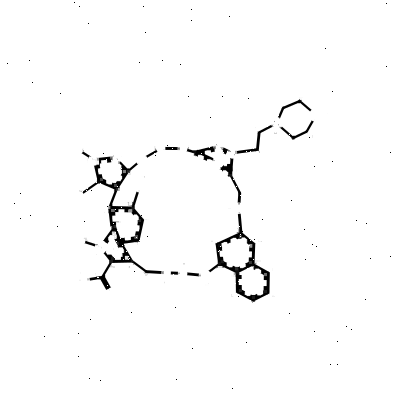 Cc1c2c(nn1C)CSCc1cc(n(CCN3CCOCC3)n1)CSc1cc(c3ccccc3c1)OCCCc1c(C(=O)O)n(C)c3c-2c(Cl)ccc13